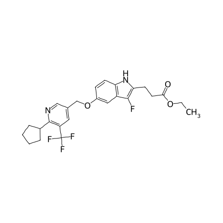 CCOC(=O)CCc1[nH]c2ccc(OCc3cnc(C4CCCC4)c(C(F)(F)F)c3)cc2c1F